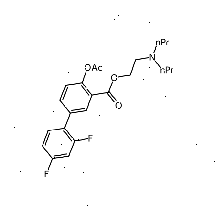 CCCN(CCC)CCOC(=O)c1cc(-c2ccc(F)cc2F)ccc1OC(C)=O